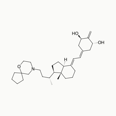 C=C1[C@H](O)CC(=C/C=C2\CCC[C@]3(C)[C@@H]([C@H](C)CCN4CCOC5(CCCC5)C4)CC[C@@H]23)C[C@H]1O